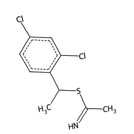 CC(=N)SC(C)c1ccc(Cl)cc1Cl